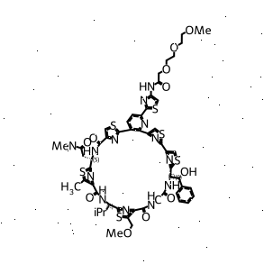 CNC(=O)C[C@@H]1NC(=O)c2csc(n2)-c2ccc(-c3nc(NC(=O)COCCOCCOC)cs3)nc2-c2csc(n2)-c2csc(n2)[C@H]([C@@H](O)c2ccccc2)NC(=O)CNC(=O)c2nc(sc2COC)[C@@H](C(C)C)NC(=O)c2nc1sc2C